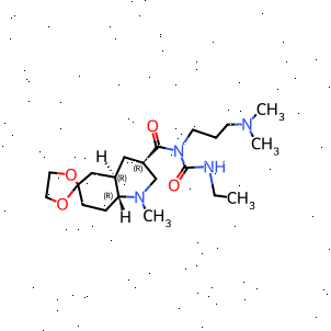 CCNC(=O)N(CCCN(C)C)C(=O)[C@@H]1C[C@@H]2CC3(CC[C@H]2N(C)C1)OCCO3